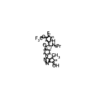 CC(C)NCC(C(=O)N1CCN(c2ncnc3c2[C@H](C)C[C@H]3O)CC1)c1ccc(F)c(OC(F)(F)F)c1